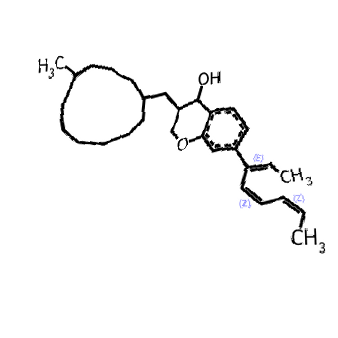 C\C=C/C=C\C(=C/C)c1ccc2c(c1)OCC(CC1CCCCCCC(C)CCC1)C2O